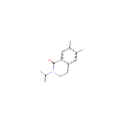 Cc1cc2c(cc1I)C(=O)N(C(C)C(=O)O)CC2